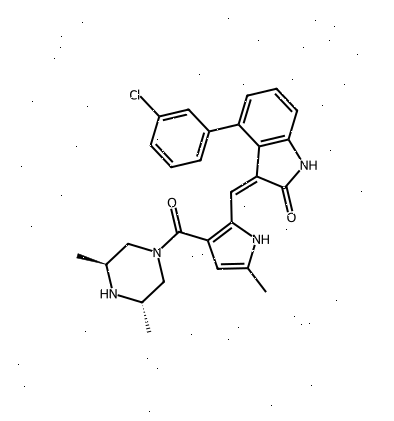 Cc1cc(C(=O)N2C[C@H](C)N[C@@H](C)C2)c(C=C2C(=O)Nc3cccc(-c4cccc(Cl)c4)c32)[nH]1